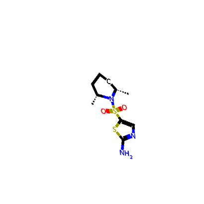 C[C@@H]1CCC[C@H](C)N1S(=O)(=O)c1cnc(N)s1